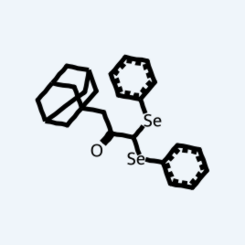 O=C(CC12CC3CC(CC(C3)C1)C2)C([Se]c1ccccc1)[Se]c1ccccc1